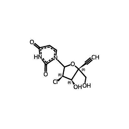 C#C[C@]1(CO)OC(n2ccc(=O)[nH]c2=O)[C@H](Cl)[C@@H]1O